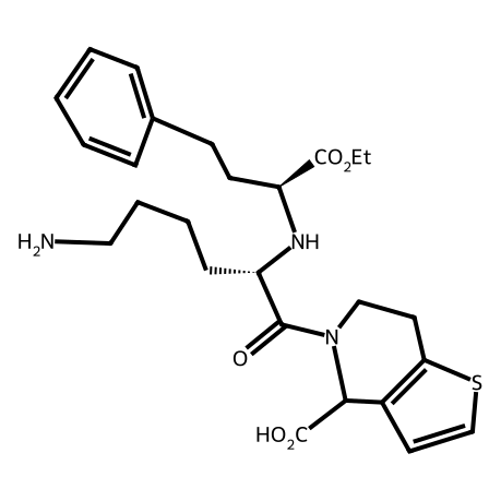 CCOC(=O)[C@H](CCc1ccccc1)N[C@@H](CCCCN)C(=O)N1CCc2sccc2C1C(=O)O